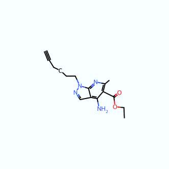 C#CCCCCn1ncc2c(N)c(C(=O)OCC)c(C)nc21